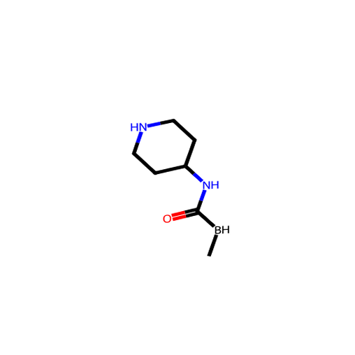 CBC(=O)NC1CCNCC1